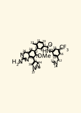 COc1c(-c2cc(C(=O)Nc3cc(CN(C)C)cc(C(F)(F)F)c3)ccc2C)cc2cnc(N)nc2c1-c1cnn(C)c1